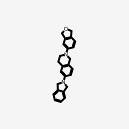 c1ccc2c(c1)CN(c1ccc3c(c1)CCN(c1ccc4c(c1)COC4)C3)C2